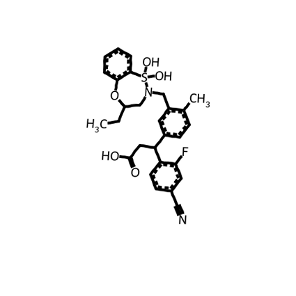 CCC1CN(Cc2cc(C(CC(=O)O)c3ccc(C#N)cc3F)ccc2C)S(O)(O)c2ccccc2O1